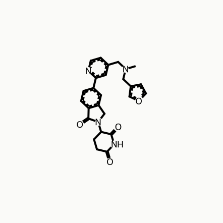 CN(Cc1ccoc1)Cc1ccnc(-c2ccc3c(c2)CN(C2CCC(=O)NC2=O)C3=O)c1